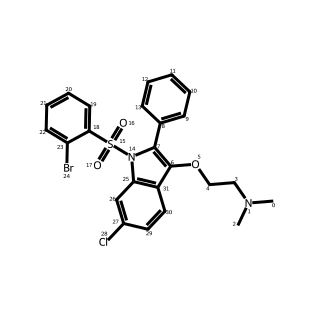 CN(C)CCOc1c(-c2ccccc2)n(S(=O)(=O)c2ccccc2Br)c2cc(Cl)ccc12